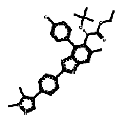 CCOC(=O)[C@@H](OC(C)(C)C)c1c(C)cc2nc(-c3ccc(-c4cnn(C)c4C)cc3)sc2c1-c1ccc(Cl)cc1